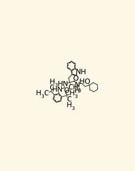 CC(C)c1cccc(C(C)C)c1NC(=O)NC(C)(Cc1c[nH]c2ccccc12)C(=O)NCCC1(O)CCCCC1